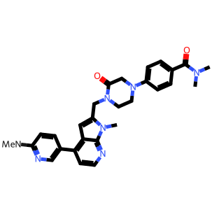 CNc1ccc(-c2ccnc3c2cc(CN2CCN(c4ccc(C(=O)N(C)C)cc4)CC2=O)n3C)cn1